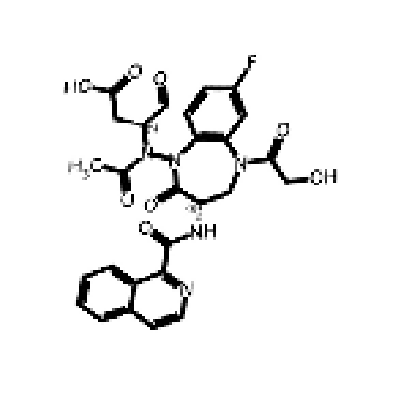 CC(=O)N([C@H](C=O)CC(=O)O)N1C(=O)[C@@H](NC(=O)c2nccc3ccccc23)CN(C(=O)CO)c2cc(F)ccc21